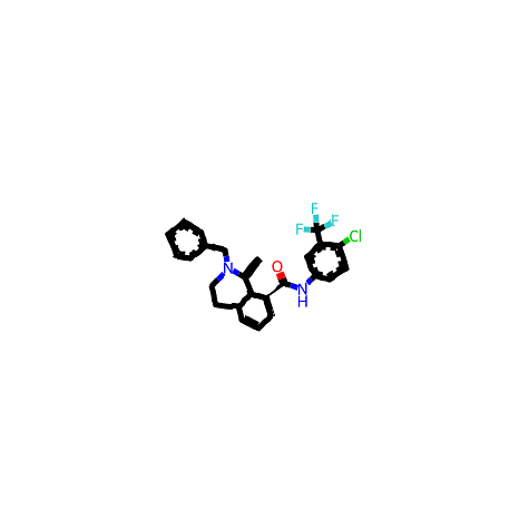 C=C1C2C(C=CC[C@@H]2C(=O)Nc2ccc(Cl)c(C(F)(F)F)c2)CCN1Cc1ccccc1